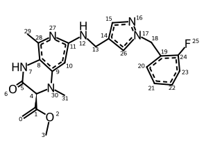 C=C(OC)[C@H]1C(=O)Nc2c(cc(NCc3cnn(Cc4ccccc4F)c3)nc2C)N1C